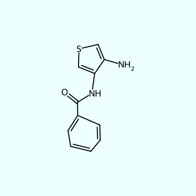 Nc1cscc1NC(=O)c1ccccc1